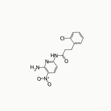 Nc1nc(NC(=O)CCc2ccccc2Cl)ccc1[N+](=O)[O-]